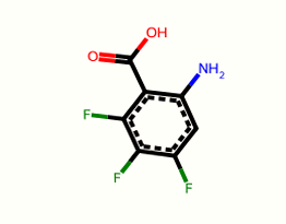 Nc1cc(F)c(F)c(F)c1C(=O)O